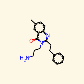 Cc1ccc2nc(CCc3ccccc3)n(CCCN)c(=O)c2c1